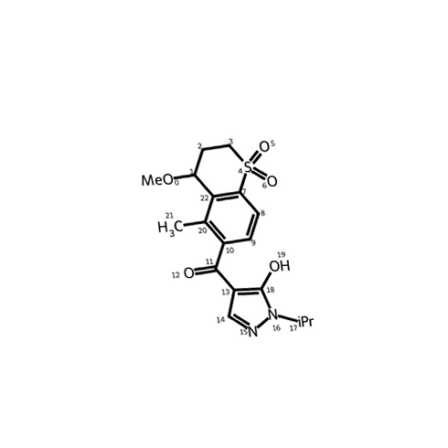 COC1CCS(=O)(=O)c2ccc(C(=O)c3cnn(C(C)C)c3O)c(C)c21